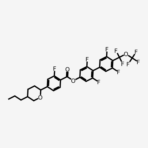 CCCC1CCC(c2ccc(C(=O)Oc3cc(F)c(-c4cc(F)c(C(F)(F)OC(F)(F)F)c(F)c4)c(F)c3)c(F)c2)OC1